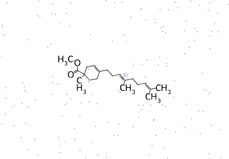 COC(=O)C1(C)CC=C(CC/C=C(\C)CCC=C(C)C)CC1